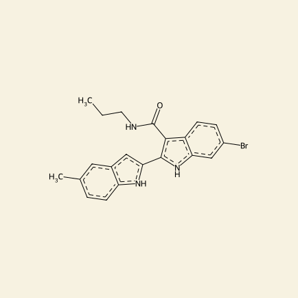 CCCNC(=O)c1c(-c2cc3cc(C)ccc3[nH]2)[nH]c2cc(Br)ccc12